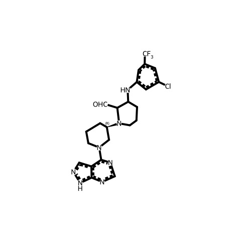 O=CC1C(Nc2cc(Cl)cc(C(F)(F)F)c2)CCCN1[C@@H]1CCCN(c2ncnc3[nH]ncc23)C1